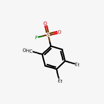 CCc1cc(C=O)c(S(=O)(=O)F)cc1CC